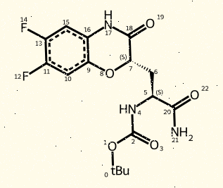 CC(C)(C)OC(=O)N[C@@H](C[C@@H]1Oc2cc(F)c(F)cc2NC1=O)C(N)=O